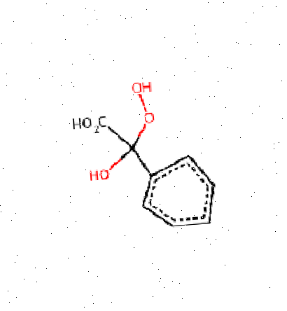 O=C(O)C(O)(OO)c1ccccc1